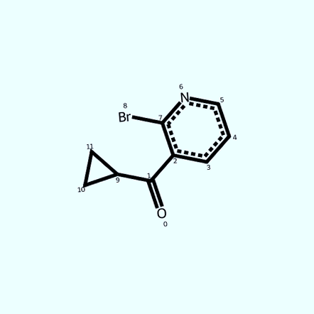 O=C(c1cccnc1Br)C1CC1